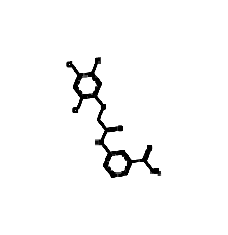 NC(=O)c1cccc(NC(=O)COc2cc(Cl)c(Cl)cc2Cl)c1